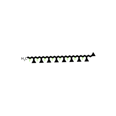 CCC(F)CC(CC(F)CC(CC(F)CC(CC(F)CC(CC(F)CC(CC(F)CC(CC(F)CC(CC(F)CC(CC[C]1CC1)C1CC1)C1CC1)C1CC1)C1CC1)C1CC1)C1CC1)C1CC1)C1CC1